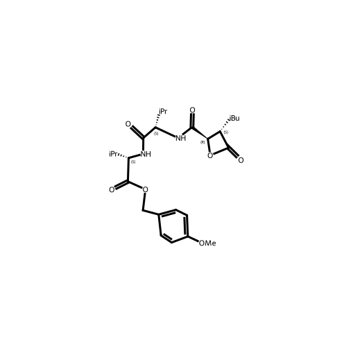 CCC(C)[C@@H]1C(=O)O[C@H]1C(=O)N[C@H](C(=O)N[C@H](C(=O)OCc1ccc(OC)cc1)C(C)C)C(C)C